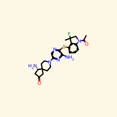 CC(=O)N1CC(C)(F)c2c(Sc3ncc(N4CCC5(CC4)CC(=O)C[C@@H]5N)nc3N)cccc21